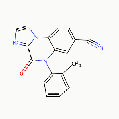 Cc1ccccc1-n1c(=O)c2nccn2c2ccc(C#N)cc21